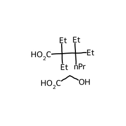 CCCC(CC)(CC)C(CC)(CC)C(=O)O.O=C(O)CO